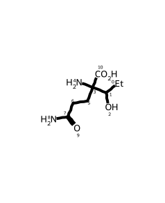 CCC(O)C(N)(CCC(N)=O)C(=O)O